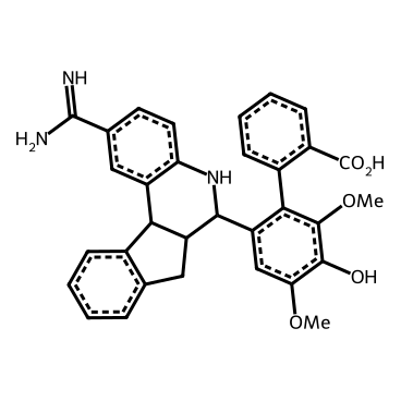 COc1cc(C2Nc3ccc(C(=N)N)cc3C3c4ccccc4CC23)c(-c2ccccc2C(=O)O)c(OC)c1O